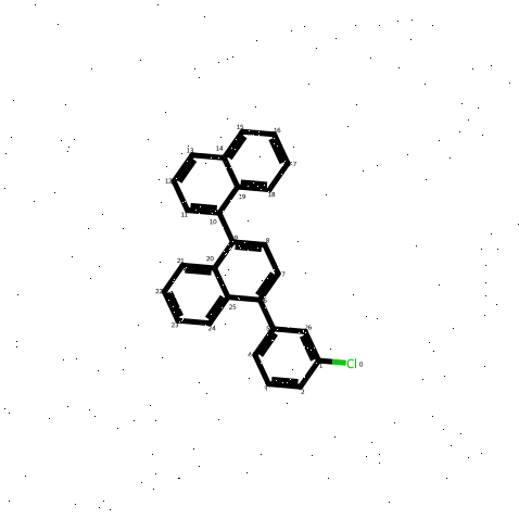 Clc1cccc(-c2ccc(-c3cccc4ccccc34)c3ccccc23)c1